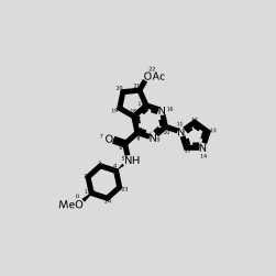 CO[C@H]1CC[C@H](NC(=O)c2nc(-n3ccnc3)nc3c2CCC3OC(C)=O)CC1